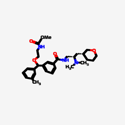 COC(=O)NCCOC(c1cccc(C)c1)c1cccc(C(=O)NC[C@H](C[C@H]2CCCOC2)N(C)C)c1